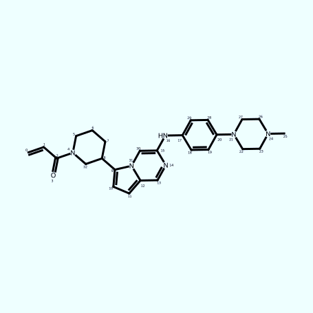 C=CC(=O)N1CCCC(c2ccc3cnc(Nc4ccc(N5CCN(C)CC5)cc4)cn23)C1